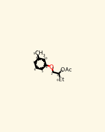 CCC(COc1cccc(C)c1)OC(C)=O